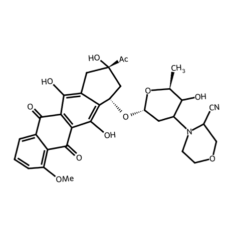 COc1cccc2c1C(=O)c1c(O)c3c(c(O)c1C2=O)C[C@@](O)(C(C)=O)C[C@@H]3O[C@H]1CC(N2CCOCC2C#N)C(O)[C@H](C)O1